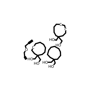 C#CCOCC#C.OCC1(CO)CCCCCCCCC1.OCC1(CO)CCCCCCCCC1.OCC1(CO)CCCCCCCCC1